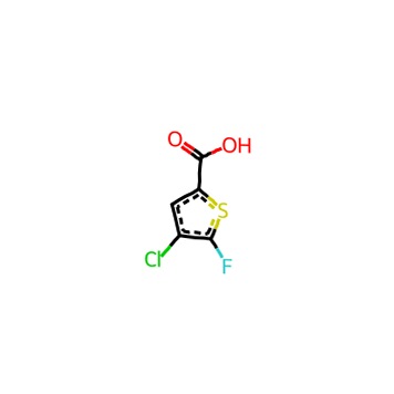 O=C(O)c1cc(Cl)c(F)s1